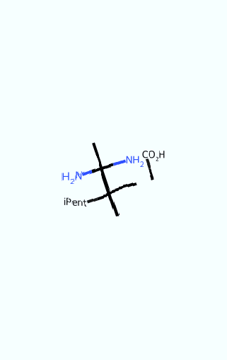 CC(=O)O.CCCC(C)C(C)(C)C(C)(N)N